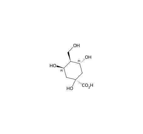 O=C(O)[C@]1(O)C[C@@H](O)[C@@H](CO)[C@H](O)C1